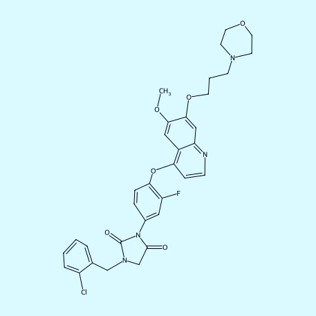 COc1cc2c(Oc3ccc(N4C(=O)CN(Cc5ccccc5Cl)C4=O)cc3F)ccnc2cc1OCCCN1CCOCC1